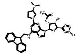 CCn1nnc([C@H]2O[C@@H](n3cnc4c(NCC5c6ccccc6-c6ccccc65)nc(N5CC[C@@H](N(C)C)C5)nc43)[C@H](OC(=O)C(F)(F)F)[C@@H]2O)n1